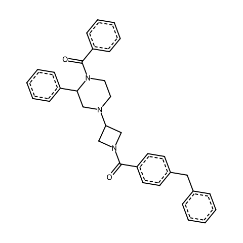 O=C(c1ccc(Cc2ccccc2)cc1)N1CC(N2CCN(C(=O)c3ccccc3)C(c3ccccc3)C2)C1